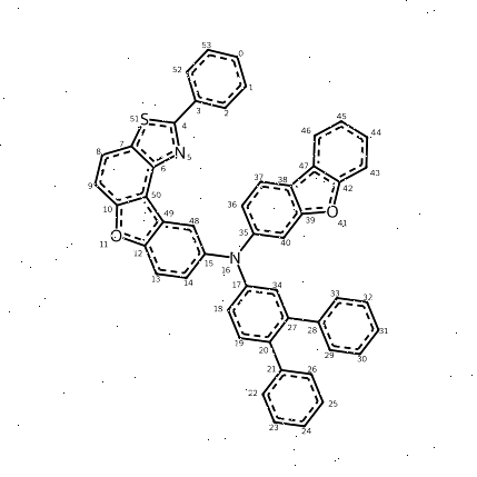 c1ccc(-c2nc3c(ccc4oc5ccc(N(c6ccc(-c7ccccc7)c(-c7ccccc7)c6)c6ccc7c(c6)oc6ccccc67)cc5c43)s2)cc1